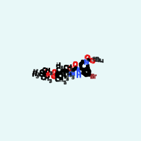 CC(C)(C)OC(=O)N1CC[C@@H](NC(=O)c2nnc(C(C)(C)CCC3(C)OB(B4OC(C)(C)C(C)(C)O4)OC3(C)C)o2)c2ccc(Br)cc2C1